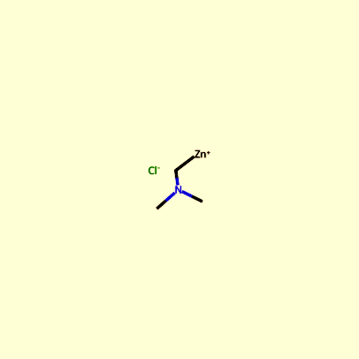 CN(C)[CH2][Zn+].[Cl-]